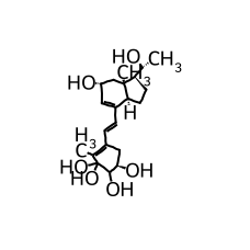 CC1=C(/C=C/C2=C[C@H](O)C[C@]3(C)[C@@H]([C@@H](C)O)CC[C@@H]23)C[C@@H](O)C(O)C1(O)O